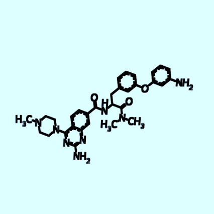 CN1CCN(c2nc(N)nc3cc(C(=O)NC(Cc4cccc(Oc5cccc(N)c5)c4)C(=O)N(C)C)ccc23)CC1